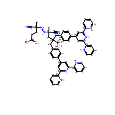 CC(C#N)(CCC(=O)O)N=NC(C)(C#N)CC(Cc1ccc(-c2cc(-c3ccccn3)nc(-c3ccccn3)c2)cc1)(Cc1ccc(-c2cc(-c3ccccn3)nc(-c3ccccn3)c2)cc1)C(=O)O